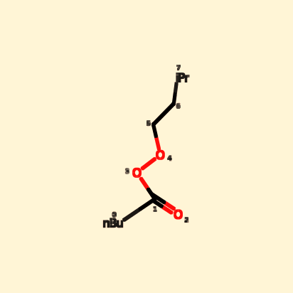 CCCCC(=O)OOCCC(C)C